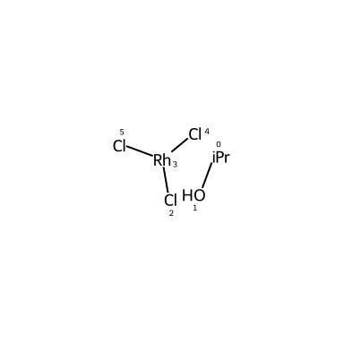 CC(C)O.[Cl][Rh]([Cl])[Cl]